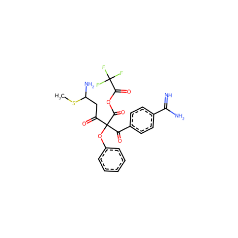 CSC(N)CC(=O)C(Oc1ccccc1)(C(=O)OC(=O)C(F)(F)F)C(=O)c1ccc(C(=N)N)cc1